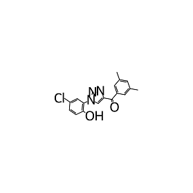 Cc1cc(C)cc(C(=O)c2cn(-c3cc(Cl)ccc3O)nn2)c1